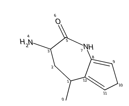 CC1CC(N)C(=O)NC2=CCC=C21